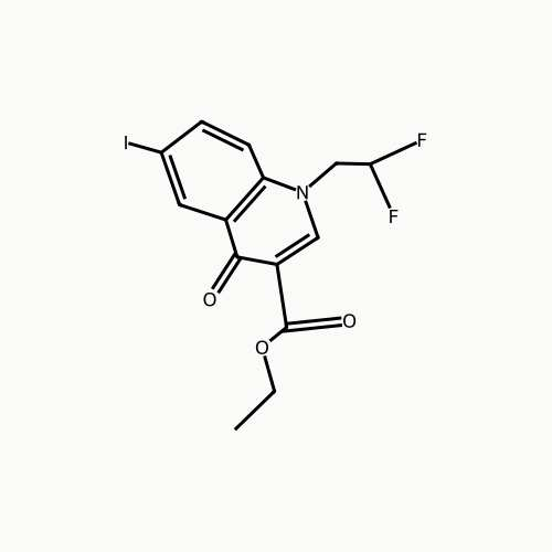 CCOC(=O)c1cn(CC(F)F)c2ccc(I)cc2c1=O